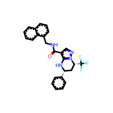 O=C(NCc1cccc2ccccc12)c1cnn2c1N[C@@H](c1ccccc1)C[C@H]2C(F)(F)F